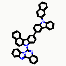 c1ccc2cc(-n3c4ccccc4c4cc(-c5ccc6c(c5)c5c7ccccc7ccc5n6-c5nc6ccccc6c6nc7ccccc7n56)ccc43)ccc2c1